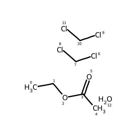 CCOC(C)=O.ClCCl.ClCCl.O